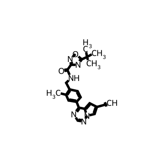 C#Cc1cc2c(-c3ccc(CNC(=O)c4noc(C(C)(C)C)n4)c(C)c3)ncnn2c1